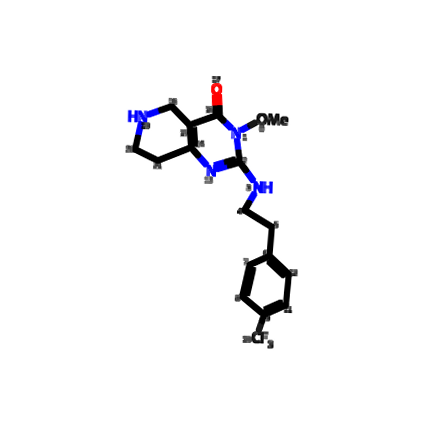 COn1c(NCCc2ccc(C(F)(F)F)cc2)nc2c(c1=O)CNCC2